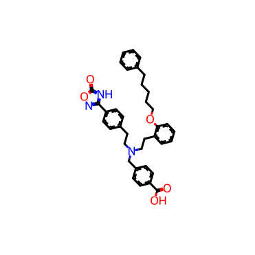 O=C(O)c1ccc(CN(CCc2ccc(-c3noc(=O)[nH]3)cc2)CCc2ccccc2OCCCCCc2ccccc2)cc1